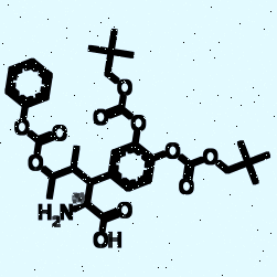 CC(OC(=O)Oc1ccccc1)C(C)C(c1ccc(OC(=O)OCC(C)(C)C)c(OC(=O)OCC(C)(C)C)c1)[C@H](N)C(=O)O